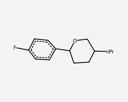 CCCC1CCC(c2ccc(F)cc2)OC1